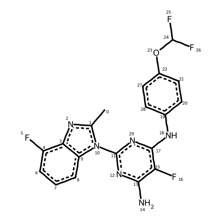 Cc1nc2c(F)cccc2n1-c1nc(N)c(F)c(Nc2ccc(OC(F)F)cc2)n1